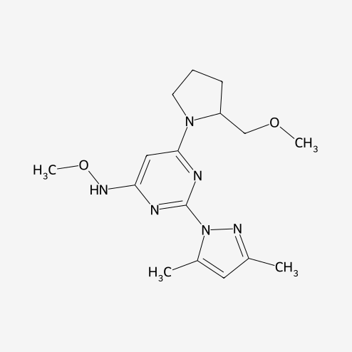 COCC1CCCN1c1cc(NOC)nc(-n2nc(C)cc2C)n1